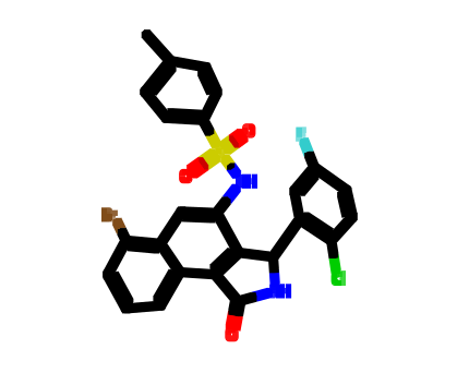 Cc1ccc(S(=O)(=O)Nc2cc3c(Br)cccc3c3c2C(c2cc(F)ccc2Cl)NC3=O)cc1